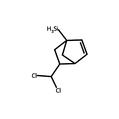 [SiH3]C12C=CC(C1)C(C(Cl)Cl)C2